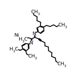 CCCCCCCCCC#CC(=N\c1ccc(CCCCC)c(CCCCC)c1)/C(CC)=N/c1ccc(CC)c(CC)c1.[Ni]